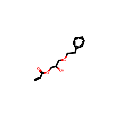 C=CC(=O)OCC(O)COCCc1ccccc1